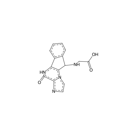 O=C(O)CNC1c2ccccc2-c2[nH]c(=O)c3nccn3c21